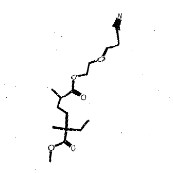 CCC(C)(CCC(C)C(=O)OCCOCCC#N)C(=O)OC